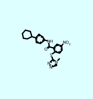 Cn1cnnc1Sc1ccc([N+](=O)[O-])cc1C(=O)Nc1ccc(C2CCCCC2)cc1